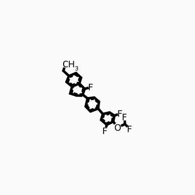 CCc1ccc2c(F)c(-c3ccc(-c4cc(F)c(OC(F)F)c(F)c4)cc3)ccc2c1